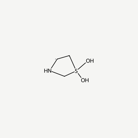 OS1(O)C[CH]NC1